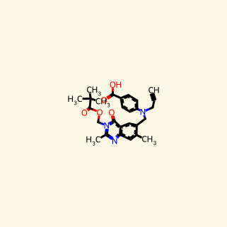 C#CCN(Cc1cc2c(=O)n(COC(=O)C(C)(C)C)c(C)nc2cc1C)c1ccc(C(=O)O)cc1